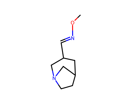 CON=CC1CC2CCN(C1)C2